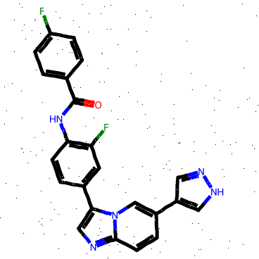 O=C(Nc1ccc(-c2cnc3ccc(-c4cn[nH]c4)cn23)cc1F)c1ccc(F)cc1